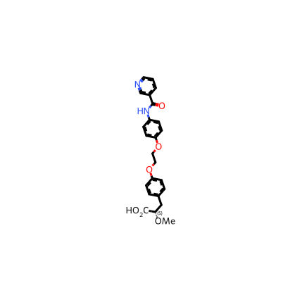 CO[C@@H](Cc1ccc(OCCOc2ccc(NC(=O)c3cccnc3)cc2)cc1)C(=O)O